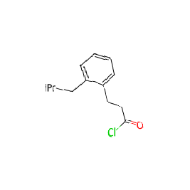 CC(C)Cc1ccccc1CCC(=O)Cl